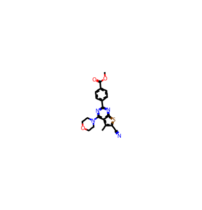 COC(=O)c1ccc(-c2nc(N3CCOCC3)c3c(C)c(C#N)sc3n2)cc1